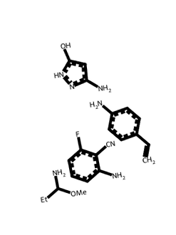 C=Cc1ccc(N)cc1.CCC(N)OC.N#Cc1c(N)cccc1F.Nc1cc(O)[nH]n1